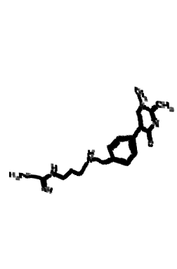 Cc1nc(=O)c(-c2ccc(CNCCCNC(=N)N)cc2)cn1C